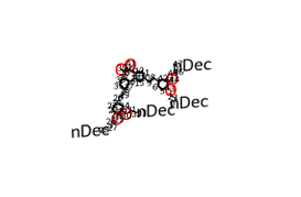 CCCCCCCCCCCCOc1ccc(/C=C/c2ccc3c(c2)-c2cc(/C=C/c4ccc(OCCCCCCCCCCCC)c(OCCCCCCCCCCCC)c4)ccc2C(=O)C3=O)cc1OCCCCCCCCCCCC